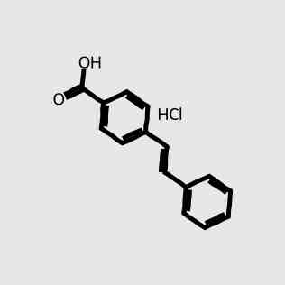 Cl.O=C(O)c1ccc(C=Cc2ccccc2)cc1